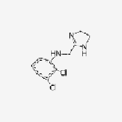 Clc1cccc(NCC2=NCCN2)c1Cl